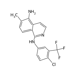 Cc1ccc2c(Nc3ccc(Cl)c(C(F)(F)F)c3)nccc2c1N